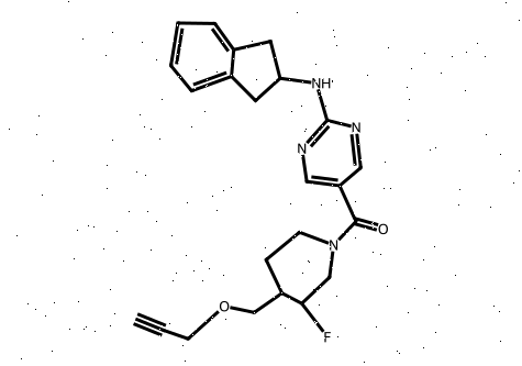 C#CCOCC1CCN(C(=O)c2cnc(NC3Cc4ccccc4C3)nc2)CC1F